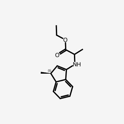 CCOC(=O)C(C)NC1=C[C@H](C)c2ccccc21